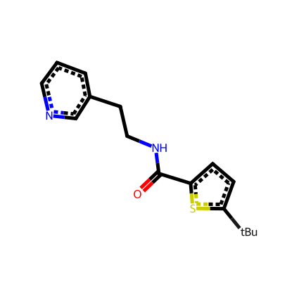 CC(C)(C)c1ccc(C(=O)NCCc2cccnc2)s1